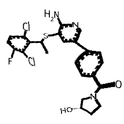 CC(Sc1cc(-c2ccc(C(=O)N3CC[C@H](O)C3)cc2)cnc1N)c1c(Cl)ccc(F)c1Cl